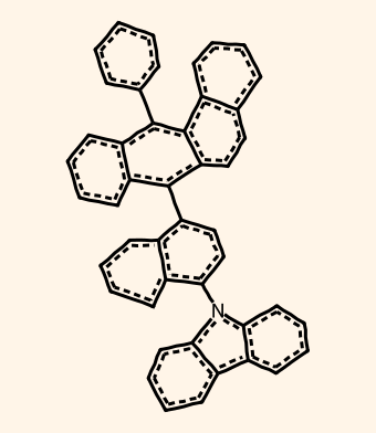 c1ccc(-c2c3ccccc3c(-c3ccc(-n4c5ccccc5c5ccccc54)c4ccccc34)c3ccc4ccccc4c23)cc1